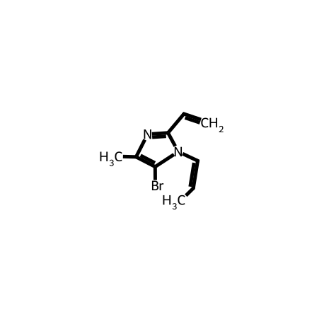 C=Cc1nc(C)c(Br)n1/C=C\C